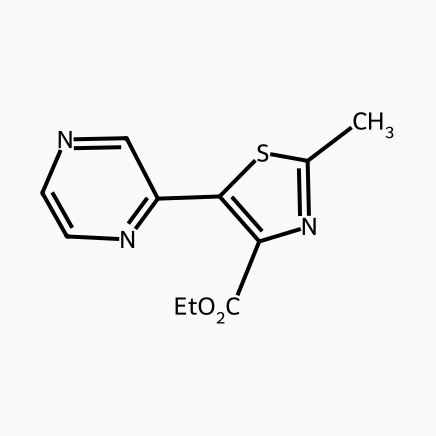 CCOC(=O)c1nc(C)sc1-c1cnccn1